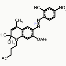 COc1cc2c(cc1/N=N/c1ccc([N+](=O)[O-])cc1C#N)C(C)=CC(C)(C)N2CCCC(C)=O